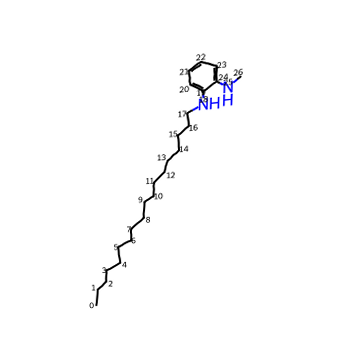 CCCCCCCCCCCCCCCCCCNc1ccccc1NC